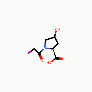 O=C(O)[C@@H]1CC(O)CN1C(=O)CI